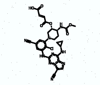 COC(=O)N[C@H]1CCN(c2cc(C#N)cc(Nc3nc(NC4CC4)c4ncc(C#N)n4n3)c2Cl)C[C@@H]1OC(=O)/C=C/C(=O)O